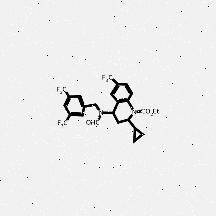 CCOC(=O)N1c2ccc(C(F)(F)F)cc2C(N(C=O)Cc2cc(C(F)(F)F)cc(C(F)(F)F)c2)CC1C1CC1